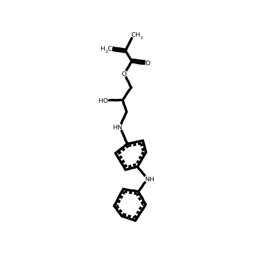 C=C(C)C(=O)OCC(O)CNc1ccc(Nc2ccccc2)cc1